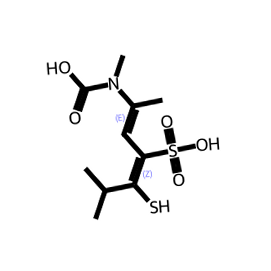 C/C(=C\C(=C(\S)C(C)C)S(=O)(=O)O)N(C)C(=O)O